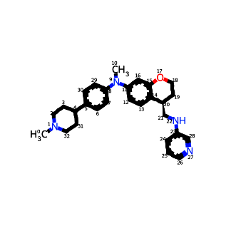 CN1CCC(c2ccc(N(C)c3ccc4c(c3)OCC[C@H]4CNc3cccnc3)cc2)CC1